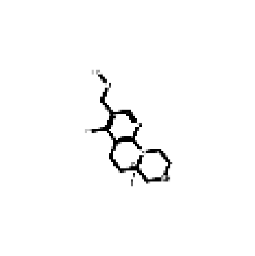 CCc1c(COC(C)C)cnc2c1CC[C@@H]1CNCCN21